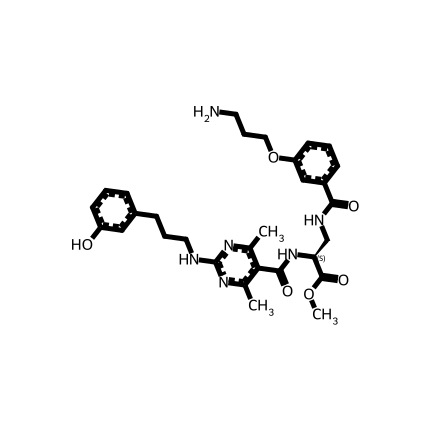 COC(=O)[C@H](CNC(=O)c1cccc(OCCCN)c1)NC(=O)c1c(C)nc(NCCCc2cccc(O)c2)nc1C